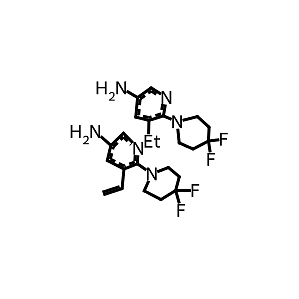 C=Cc1cc(N)cnc1N1CCC(F)(F)CC1.CCc1cc(N)cnc1N1CCC(F)(F)CC1